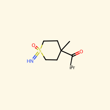 CC(C)C(=O)C1(C)CCS(=N)(=O)CC1